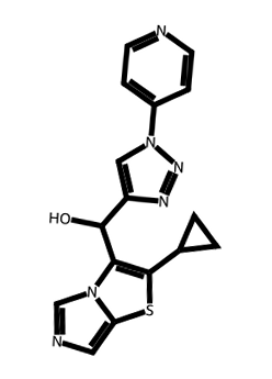 OC(c1cn(-c2ccncc2)nn1)c1c(C2CC2)sc2cncn12